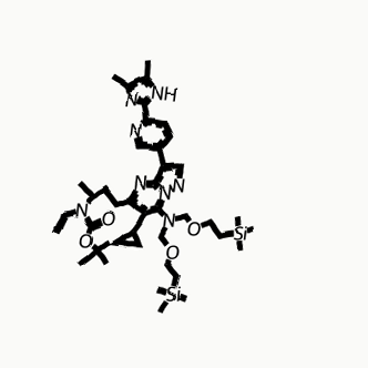 C=CN(C(=O)OC(C)(C)C)C(C)CCc1nc2c(-c3ccc(-c4nc(C)c(C)[nH]4)nc3)cnn2c(N(COCC[Si](C)(C)C)COCC[Si](C)(C)C)c1C1CC1